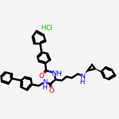 Cl.O=C(NC(CCCCN[C@@H]1C[C@H]1c1ccccc1)C(=O)NCc1ccc(-c2ccccc2)cc1)c1ccc(-c2ccccc2)cc1